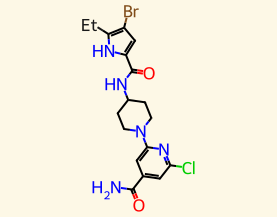 CCc1[nH]c(C(=O)NC2CCN(c3cc(C(N)=O)cc(Cl)n3)CC2)cc1Br